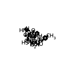 CC(=O)N1CCC[C@H]1C(=O)N[C@@H](Cc1c[nH]cn1)C(=O)N[C@@H](CO)C(=O)N[C@@H](CS)C(=O)NC(=O)C[C@H](NCc1ccc(C)cc1)C(N)=O